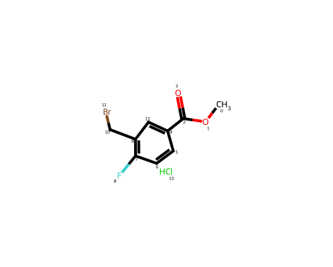 COC(=O)c1ccc(F)c(CBr)c1.Cl